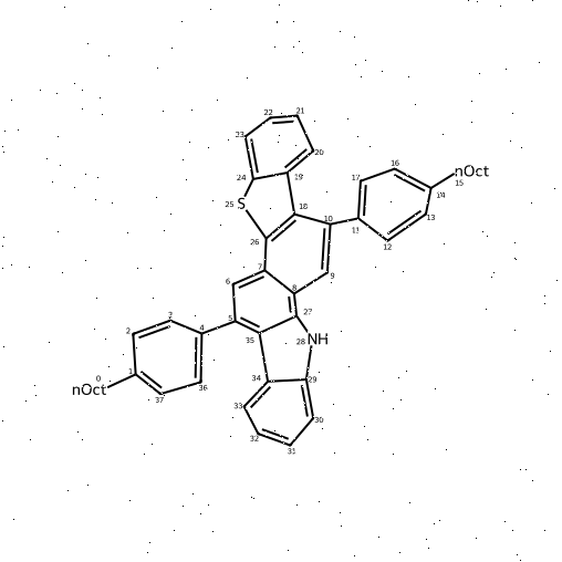 CCCCCCCCc1ccc(-c2cc3c(cc(-c4ccc(CCCCCCCC)cc4)c4c5ccccc5sc34)c3[nH]c4ccccc4c23)cc1